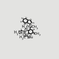 C=CCOc1c([Si](C)(C)C2C=Cc3ccccc32)cc(C)cc1[Si](C)(C)C(C)(C)C